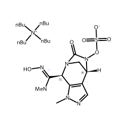 CCCC[N+](CCCC)(CCCC)CCCC.CN/C(=N\O)[C@@H]1c2c(cnn2C)[C@@H]2CN1C(=O)N2OS(=O)(=O)[O-]